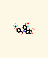 Cc1c([C@](C)(C(=O)O)C(C)C)c2c(F)c(O)ccc2n1C(=O)c1ccc(OC(F)(F)F)cc1